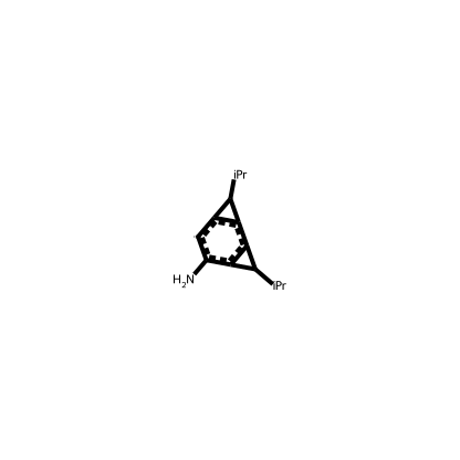 CC(C)C1c2[c]c(N)c3c(c21)C3C(C)C